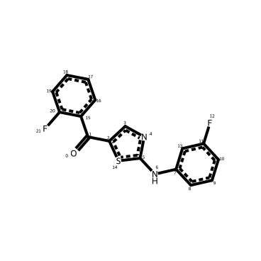 O=C(c1cnc(Nc2cccc(F)c2)s1)c1ccccc1F